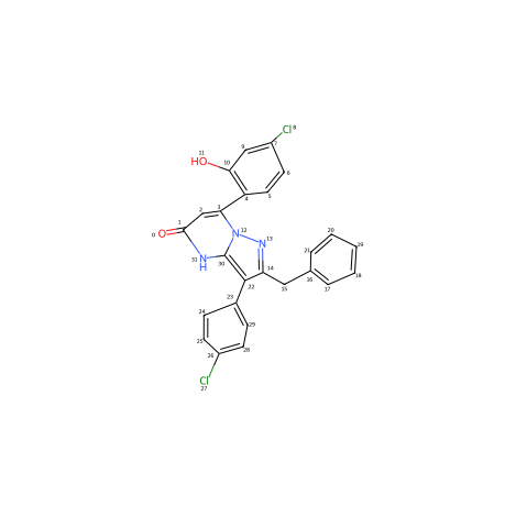 O=c1cc(-c2ccc(Cl)cc2O)n2nc(Cc3ccccc3)c(-c3ccc(Cl)cc3)c2[nH]1